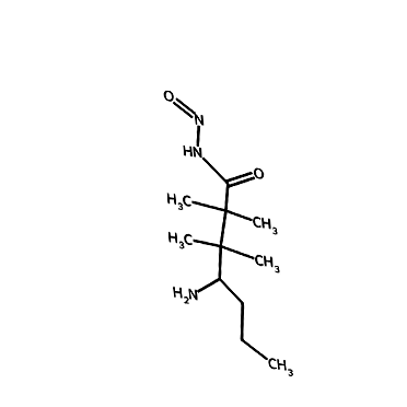 CCCC(N)C(C)(C)C(C)(C)C(=O)NN=O